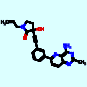 C=CCN1CCC(O)(C#Cc2cccc(-c3ccc4nc(C)nc(N)c4n3)c2)C1=O